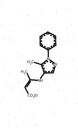 CCOC(=O)/C=C(/C)Nc1cnn(-c2ccccc2)c1C